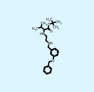 CC(C)C(NCCNCc1cccc(OCc2ccccc2)c1)C(=O)OC(C)(C)C